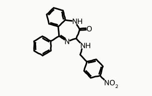 O=C1Nc2ccccc2C(c2ccccc2)=NC1NCc1ccc([N+](=O)[O-])cc1